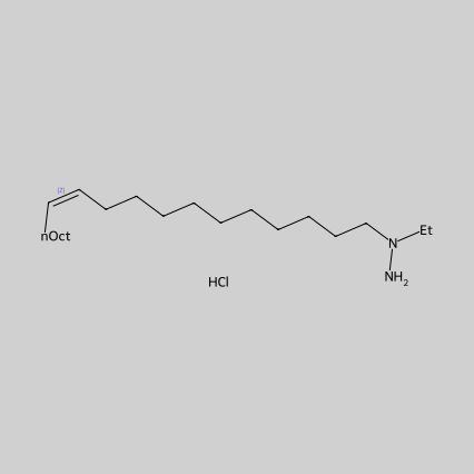 CCCCCCCC/C=C\CCCCCCCCCCN(N)CC.Cl